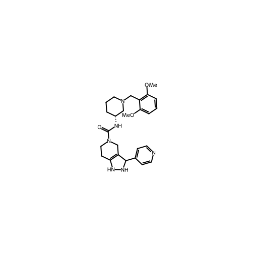 COc1cccc(OC)c1CN1CCC[C@@H](NC(=O)N2CCC3=C(C2)C(c2ccncc2)NN3)C1